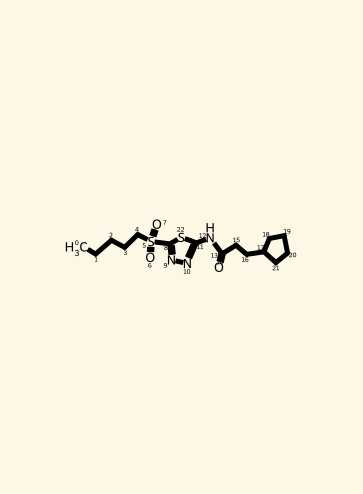 CCCCCS(=O)(=O)c1nnc(NC(=O)CCC2CCCC2)s1